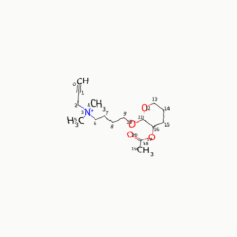 C#CC[N+](C)(C)CCCCOC1OCCCC1OC(C)=O